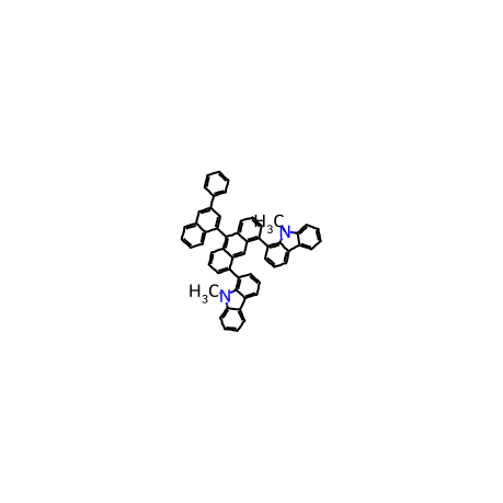 Cn1c2ccccc2c2cccc(-c3cccc4c(-c5cc(-c6ccccc6)cc6ccccc56)c5cccc(-c6cccc7c8ccccc8n(C)c67)c5cc34)c21